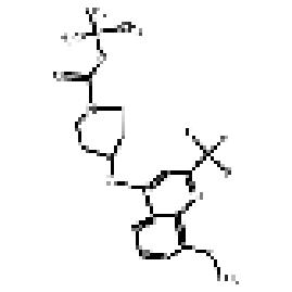 COc1cccc2c(OC3CCN(C(=O)OC(C)(C)C)CC3)cc(C(F)(F)F)nc12